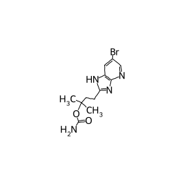 CC(C)(CCc1nc2ncc(Br)cc2[nH]1)OC(N)=O